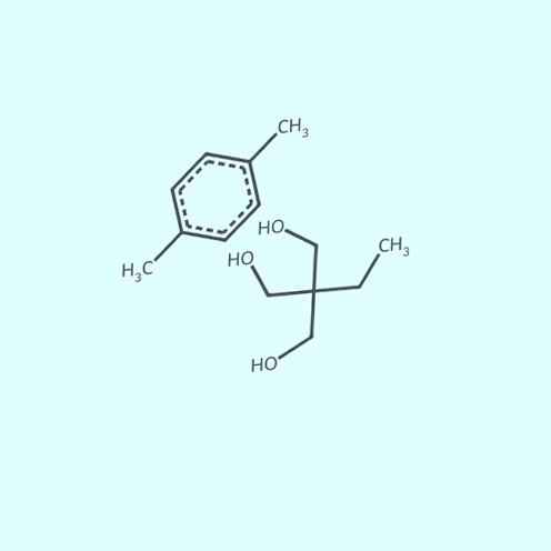 CCC(CO)(CO)CO.Cc1ccc(C)cc1